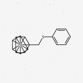 c1ccc(SC[C]23[CH]4[CH]5[CH]6[CH]2[Fe]56432789[CH]3[CH]2[CH]7[CH]8[CH]39)cc1